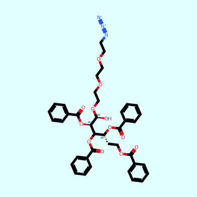 [N-]=[N+]=NCCOCCOCCO[C@@H](O)[C@H](OC(=O)c1ccccc1)C(OC(=O)c1ccccc1)[C@@H](CCOC(=O)c1ccccc1)OC(=O)c1ccccc1